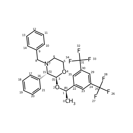 C[C@@H](O[C@@H]1OCCN(Cc2ccccc2)[C@H]1c1ccccc1)c1cc(C(F)(F)F)cc(C(F)(F)F)c1